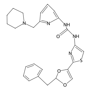 O=C(Nc1cccc(CN2CCCCC2)n1)Nc1csc(C2=COC(Cc3ccccc3)O2)n1